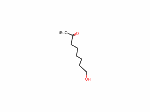 CC(C)COC(=O)CCCCCCO